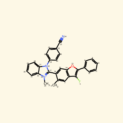 Cc1cc2c(F)c(-c3ccccc3)oc2cc1-c1n(-c2ccc(C#N)cc2)c2ccccc2[n+]1C